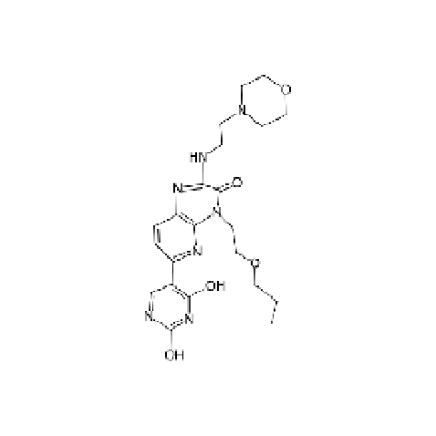 CCCOCCn1c(=O)c(NCCN2CCOCC2)nc2ccc(-c3cnc(O)nc3O)nc21